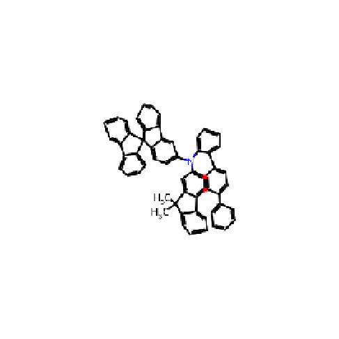 CC1(C)c2ccccc2-c2ccc(N(c3ccc4c(c3)-c3ccccc3C43c4ccccc4-c4ccccc43)c3ccccc3-c3ccc(-c4ccccc4)cc3)cc21